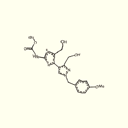 COc1ccc(Cn2cc(-c3nc(NC(=O)OC(C)(C)C)sc3CO)c(CO)n2)cc1